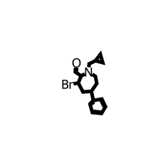 O=CC1C(Br)CC(c2ccccc2)CCN1CC1CC1